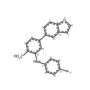 O=C(O)c1ccc(-c2ccc3occc3c2)cc1Nc1ccc(F)cc1